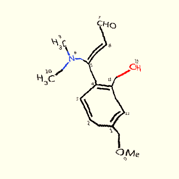 COc1ccc(C(=CC=O)N(C)C)c(O)c1